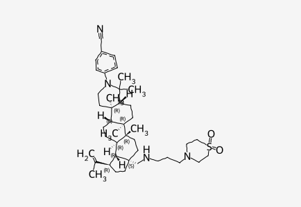 C=C(C)[C@@H]1CC[C@]2(CNCCCN3CCS(=O)(=O)CC3)CC[C@]3(C)[C@H](CC[C@@H]4[C@@]5(C)CCN(c6ccc(C#N)cc6)C(C)(C)[C@@H]5CC[C@]43C)[C@@H]12